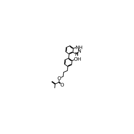 C=C(C)C(=O)OCCCc1ccc(-c2cccc3[nH]nnc23)c(O)c1